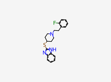 Fc1ccccc1CCN1CCC(Sc2nc3ccccc3[nH]2)CC1